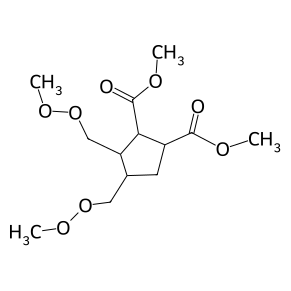 COOCC1CC(C(=O)OC)C(C(=O)OC)C1COOC